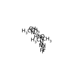 C[C@@H]1CN(c2ncc(C(F)(F)F)cn2)C[C@H](C)N1C(=O)NCC1CC2(C1)CN(CC(C)(C)C)C2